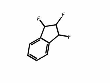 FC1c2ccccc2C(F)C1F